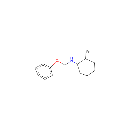 CC(C)C1CCCCC1NCOc1ccccc1